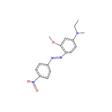 CCN(C)c1ccc(/N=N/c2ccc([N+](=O)[O-])cc2)c(OC)c1